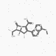 CSc1ncn2c(C3=C(C(=O)O)N4C(=O)[C@H]([C@@H](C)O)[C@H]4[C@H]3C)csc12